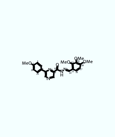 COc1ccc(-c2cncc(C(=O)NN=Cc3ccc(OC)c(OC)c3OC)n2)cc1